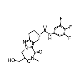 CN1OC(CO)Cn2nc3c(c2C1=O)CN(C(=O)Nc1cc(F)c(F)c(F)c1)CC3